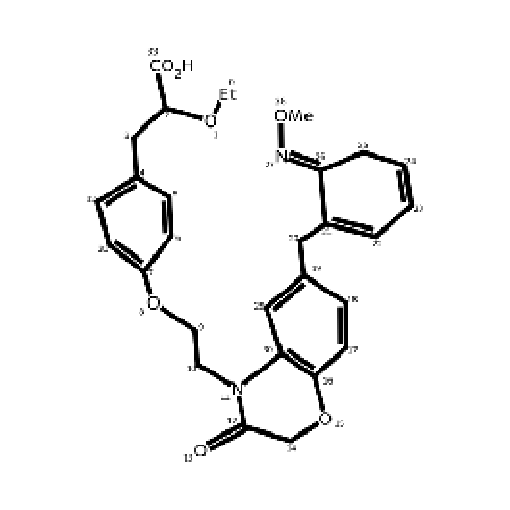 CCOC(Cc1ccc(OCCN2C(=O)COc3ccc(CC4=CC=CCC4=NOC)cc32)cc1)C(=O)O